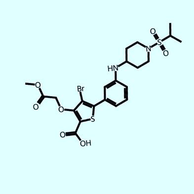 COC(=O)COc1c(C(=O)O)sc(-c2cccc(NC3CCN(S(=O)(=O)C(C)C)CC3)c2)c1Br